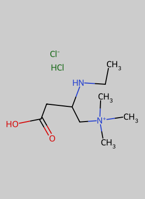 CCNC(CC(=O)O)C[N+](C)(C)C.Cl.[Cl-]